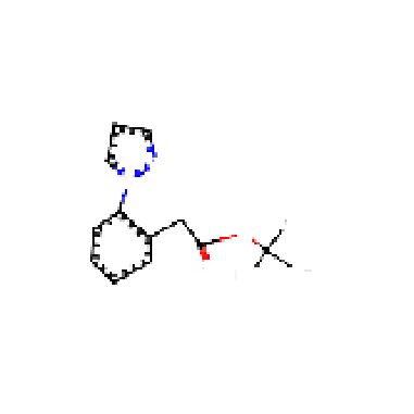 CC(C)(C)OC(=O)Cc1ccccc1-n1cccn1